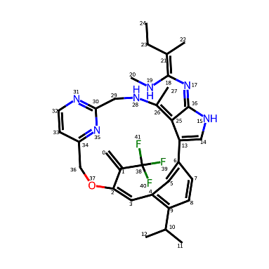 C=C(/C1=C\c2cc(ccc2C(C)C)C2=CNC(=N/C(NC)=C(\C)CC)/C2=C(\C)NCc2nccc(n2)CO1)C(F)(F)F